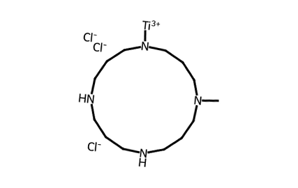 CN1CCCNCCCNCCC[N]([Ti+3])CCC1.[Cl-].[Cl-].[Cl-]